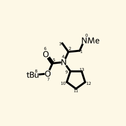 CNCC(C)N(C(=O)OC(C)(C)C)C1CCCC1